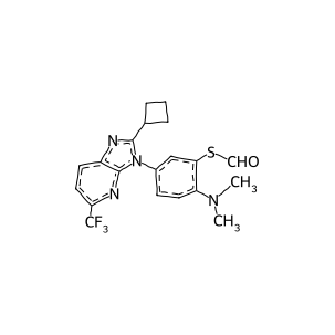 CN(C)c1ccc(-n2c(C3CCC3)nc3ccc(C(F)(F)F)nc32)cc1SC=O